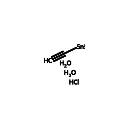 C#[C][Sn].Cl.O.O